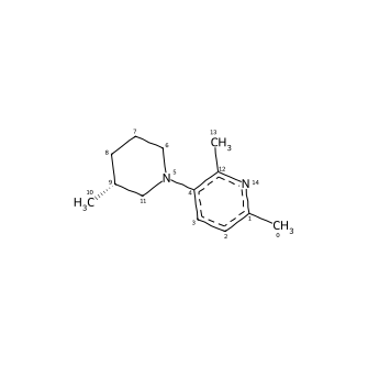 Cc1ccc(N2CCC[C@@H](C)C2)c(C)n1